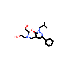 CC(C)Cn1nc(-c2ccccc2)cc(CN(CCO)CCO)c1=O